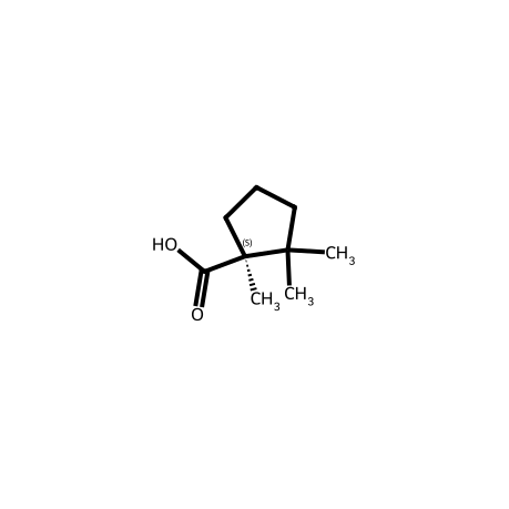 CC1(C)CCC[C@]1(C)C(=O)O